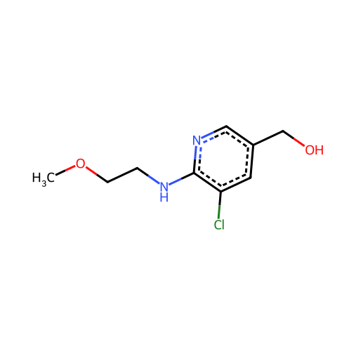 COCCNc1ncc(CO)cc1Cl